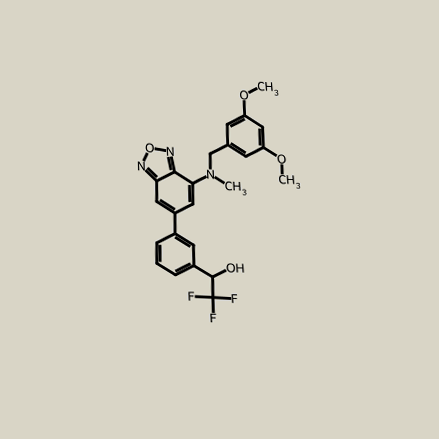 COc1cc(CN(C)c2cc(-c3cccc(C(O)C(F)(F)F)c3)cc3nonc23)cc(OC)c1